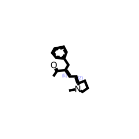 CC(=O)/C(=C/C=C1/CCCN1C)Cc1ccccc1